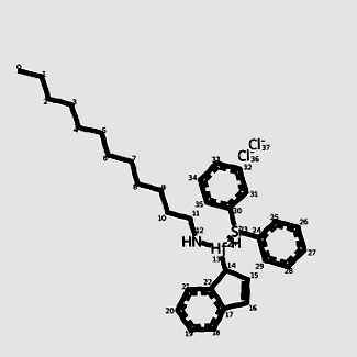 CCCCCCCCCCCC[NH][Hf+2]([CH]1C=Cc2ccccc21)[SiH](c1ccccc1)c1ccccc1.[Cl-].[Cl-]